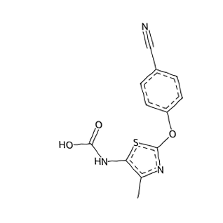 Cc1nc(Oc2ccc(C#N)cc2)sc1NC(=O)O